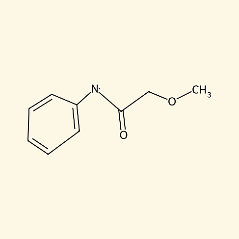 COCC(=O)[N]c1ccccc1